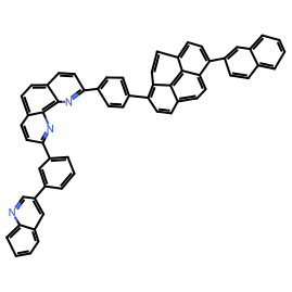 c1cc(-c2cnc3ccccc3c2)cc(-c2ccc3ccc4ccc(-c5ccc(-c6ccc7ccc8c(-c9ccc%10ccccc%10c9)ccc9ccc6c7c98)cc5)nc4c3n2)c1